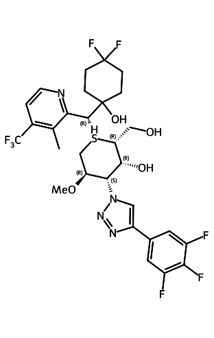 CO[C@H]1C[SH]([C@H](c2nccc(C(F)(F)F)c2C)C2(O)CCC(F)(F)CC2)[C@H](CO)[C@H](O)[C@@H]1n1cc(-c2cc(F)c(F)c(F)c2)nn1